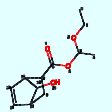 CCOC(C)OC(=O)C1CC2C=CC1C2O